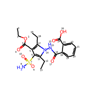 CCOC(=O)c1c(S(N)(=O)=O)c(CC)n(NC(=O)c2ccccc2C(=O)O)c1CC